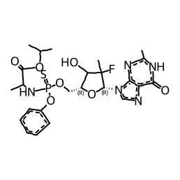 Cc1nc2c(ncn2[C@@H]2O[C@H](COP(=S)(NC(C)C(=O)OC(C)C)Oc3ccccc3)C(O)C2(C)F)c(=O)[nH]1